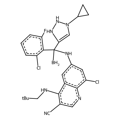 BC(Nc1cc(Cl)c2ncc(C#N)c(NCC(C)(C)C)c2c1)(C1=CN(C2CC2)NN1)c1c(F)cccc1Cl